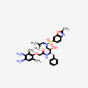 Cc1nc2ccc(S(=O)(=O)N(CC(C)C)C[C@@H](O)[C@H](Cc3ccccc3)NC(=O)COc3c(C)cc(N)c(N)c3C)cc2o1